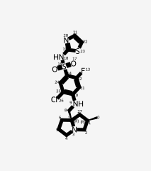 C[C@H]1CN2CCC[C@]2(CNc2cc(F)c(S(=O)(=O)Nc3nccs3)cc2Cl)C1